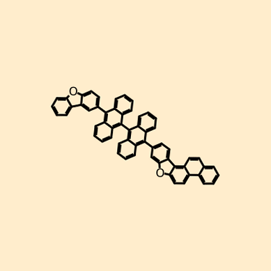 c1ccc2c(c1)ccc1c2ccc2oc3cc(-c4c5ccccc5c(-c5c6ccccc6c(-c6ccc7oc8ccccc8c7c6)c6ccccc56)c5ccccc45)ccc3c21